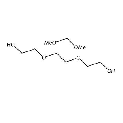 COCOC.OCCOCCOCCO